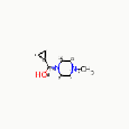 CN1CCN(C(O)C2CC2)CC1